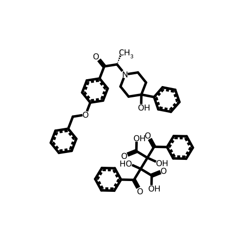 C[C@@H](C(=O)c1ccc(OCc2ccccc2)cc1)N1CCC(O)(c2ccccc2)CC1.O=C(O)C(O)(C(=O)c1ccccc1)C(O)(C(=O)O)C(=O)c1ccccc1